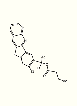 CCC1=C(C(CC)(OC(=O)CCC(C)=O)C(C)=O)C=C2c3nc4ccccc4cc3CN2C1